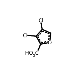 O=C(O)c1occ(Cl)c1Cl